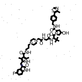 Cc1ncsc1-c1ccc(CNC(=O)[C@@H]2C[C@@H](O)CN2C(=O)[C@@H](NC(=O)CNC(=O)CN2CCN(CCCNC(=O)c3c(C)[nH]c(/C=C4\C(=O)Nc5ccc(F)cc54)c3C)CC2)C(C)(C)C)cc1